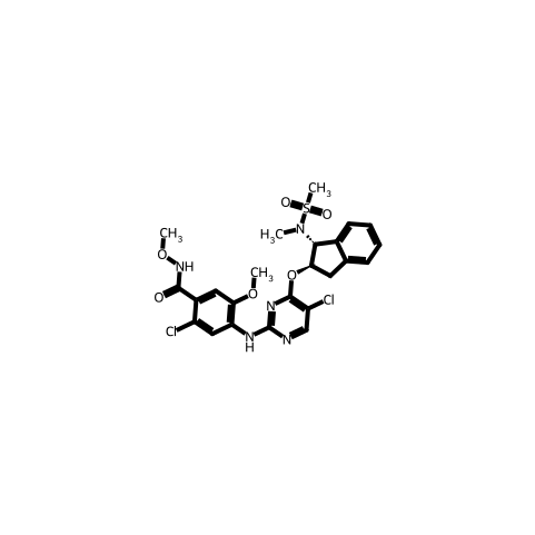 CONC(=O)c1cc(OC)c(Nc2ncc(Cl)c(O[C@@H]3Cc4ccccc4[C@H]3N(C)S(C)(=O)=O)n2)cc1Cl